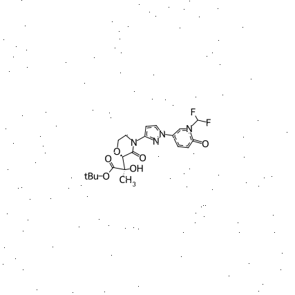 CC(C)(C)OC(=O)[C@](C)(O)[C@H]1OCCN(c2ccn(-c3ccc(=O)n(C(F)F)c3)n2)C1=O